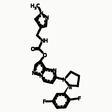 Cn1cc(CNC(=O)Oc2cnn3ccc(N4CCC[C@@H]4c4cc(F)ccc4F)nc23)cn1